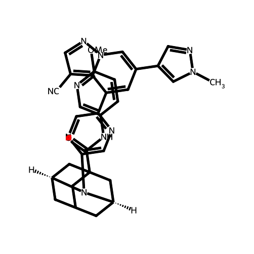 COc1ccc(NC(=O)C23CC4C[C@H](C2)N(c2cnc(-c5cc(-c6cnn(C)c6)cn6ncc(C#N)c56)cn2)[C@@H](C4)C3)cn1